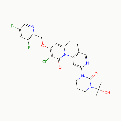 Cc1cnc(N2CCCN(C(C)(C)O)C2=O)cc1-n1c(C)cc(OCc2ncc(F)cc2F)c(Cl)c1=O